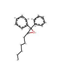 CCCCCCC1OC1(c1ccccc1)c1ccccc1